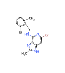 CCc1cccc(C)c1CNc1nc(Br)cc2[nH]c(C)nc12